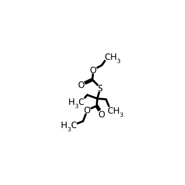 CCOC(=O)SC(CC)(CC)C(=O)OCC